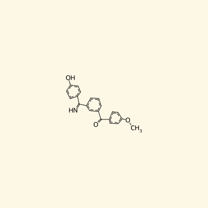 COc1ccc(C(=O)c2cccc(C(=N)c3ccc(O)cc3)c2)cc1